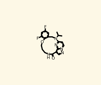 CC(C)N1Cc2cc(F)cc(F)c2OCCCNC(=O)c2cnn3ccc1nc23